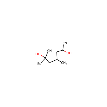 CCC(C)C(O)(C#N)CC(C)CC(O)C#N